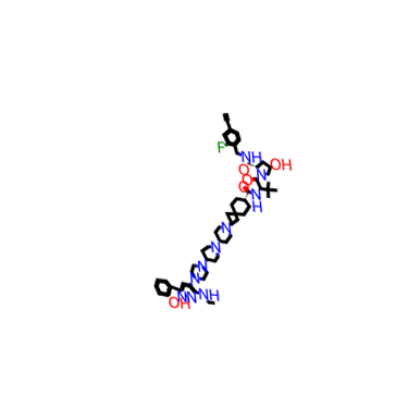 C#Cc1ccc(CNC(=O)[C@@H]2C[C@@H](O)CN2C(=O)[C@@H](NC(=O)[C@H]2CCC3(CC2)C[C@H](N2CCC(N4CCC(N5CCN(c6cc(-c7ccccc7O)nnc6NCC)CC5)CC4)CC2)C3)C(C)(C)C)c(F)c1